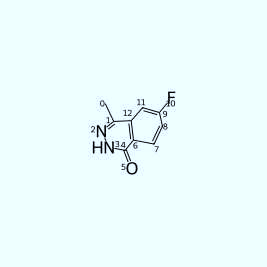 Cc1n[nH]c(=O)c2ccc(F)cc12